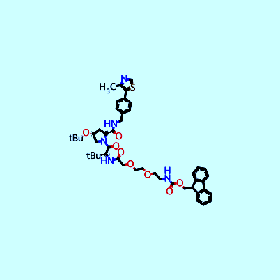 Cc1ncsc1-c1ccc(CNC(=O)[C@@H]2C[C@@H](OC(C)(C)C)CN2C(=O)[C@@H](NC(=O)COCCOCCNC(=O)OCC2c3ccccc3-c3ccccc32)C(C)(C)C)cc1